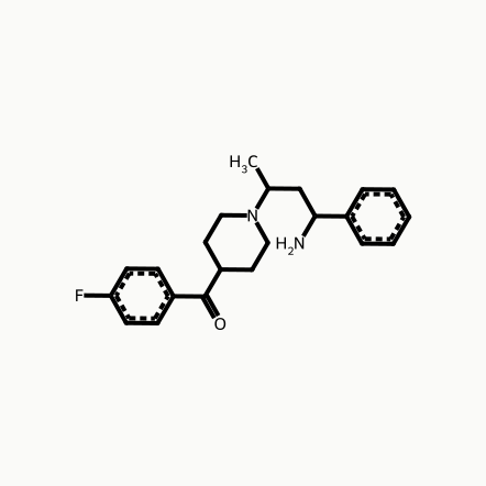 CC(CC(N)c1ccccc1)N1CCC(C(=O)c2ccc(F)cc2)CC1